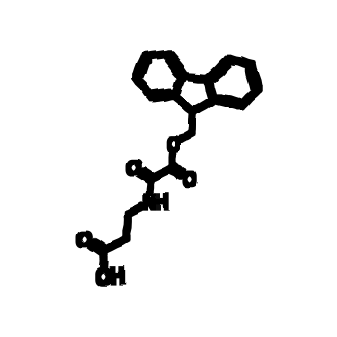 O=C(O)CCNC(=O)C(=O)OCC1c2ccccc2-c2ccccc21